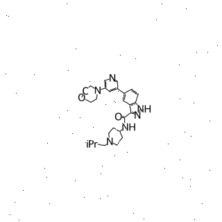 CC(C)CN1CCC(NC(=O)c2n[nH]c3ccc(-c4cncc(N5CCOCC5)c4)cc23)CC1